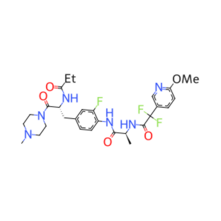 CCC(=O)N[C@H](Cc1ccc(NC(=O)[C@H](C)NC(=O)C(F)(F)c2ccc(OC)nc2)c(F)c1)C(=O)N1CCN(C)CC1